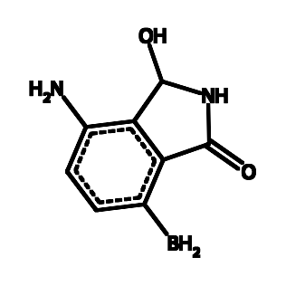 Bc1ccc(N)c2c1C(=O)NC2O